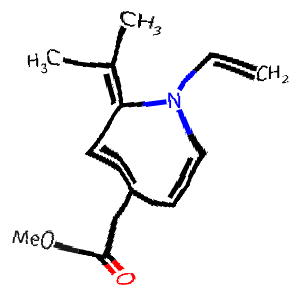 C=CN1C=CC(C(=O)OC)=CC1=C(C)C